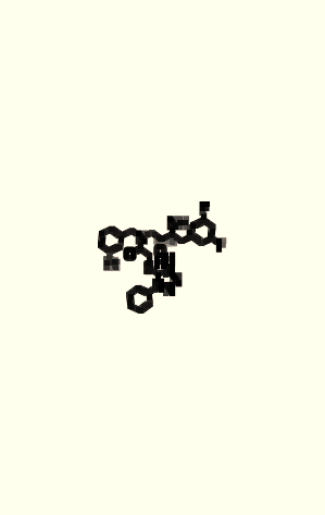 CCc1cccc(CN(C[C@@H](O)[C@@H](N)Cc2cc(F)cc(F)c2)C(=O)CSC2NN=NN2c2ccccc2)c1